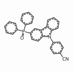 N#Cc1ccc(-n2c3ccccc3c3cc(P(=O)(c4ccccc4)c4ccccc4)ccc32)cc1